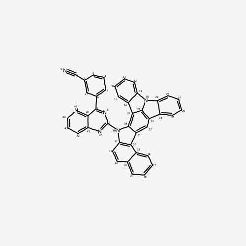 N#Cc1cccc(-c2nc(-n3c4ccc5ccccc5c4c4cc5c6ccccc6n6c7ccccc7c(c43)c56)nc3cccnc23)c1